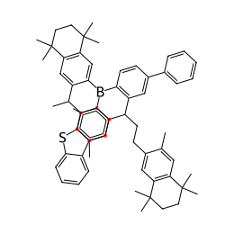 Cc1cc(C)c2c(c1)C(CCc1cc3c(cc1C)C(C)(C)CCC3(C)C)c1cc(-c3ccccc3)ccc1B2c1cc2c(cc1C(C)c1cccc3c1sc1ccccc13)C(C)(C)CCC2(C)C